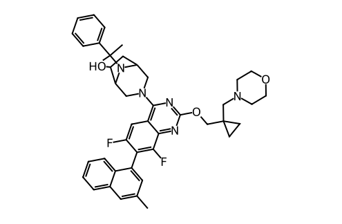 Cc1cc(-c2c(F)cc3c(N4CC5CC(O)C(C4)N5C(C)(C)c4ccccc4)nc(OCC4(CN5CCOCC5)CC4)nc3c2F)c2ccccc2c1